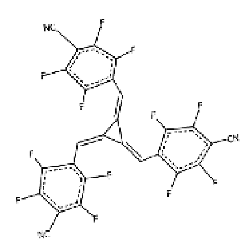 N#Cc1c(F)c(F)c(C=C2C(=Cc3c(F)c(F)c(C#N)c(F)c3F)C2=Cc2c(F)c(F)c(C#N)c(F)c2F)c(F)c1F